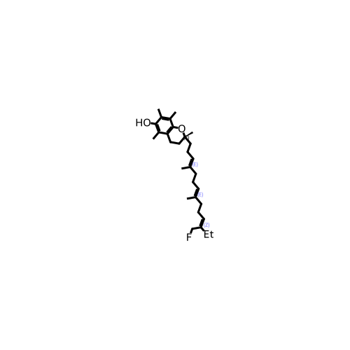 CC/C(=C/CC/C(C)=C/CC/C(C)=C/CC[C@]1(C)CCc2c(C)c(O)c(C)c(C)c2O1)CF